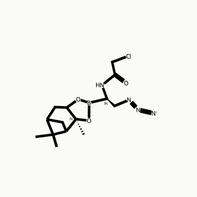 CC1(C)C2CC3OB([C@H](CN=[N+]=[N-])NC(=O)CCl)O[C@@]3(C)C1C2